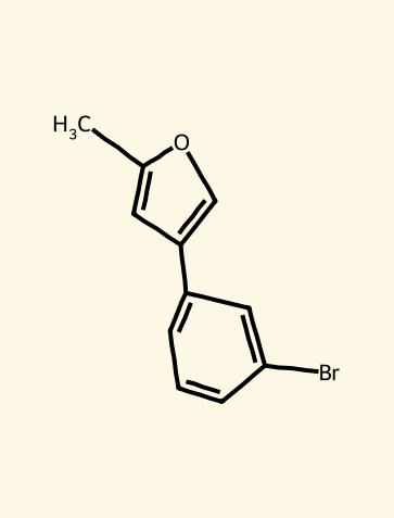 Cc1cc(-c2cccc(Br)c2)co1